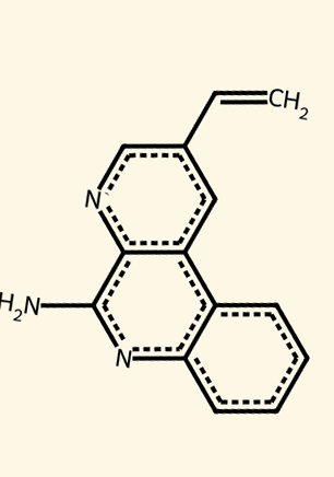 C=Cc1cnc2c(N)nc3ccccc3c2c1